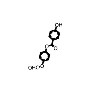 O=COc1ccc(OC(=O)c2ccc(O)cc2)cc1